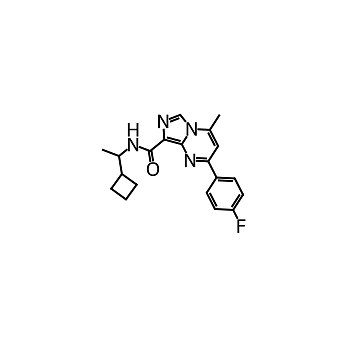 Cc1cc(-c2ccc(F)cc2)nc2c(C(=O)NC(C)C3CCC3)ncn12